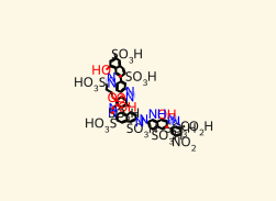 Cc1cc(/N=N\c2c(S(=O)(=O)O)cc3c(S(=O)(=O)O)c(N=Nc4cc(S(=O)(=O)O)c5cc(S(=O)(=O)O)c(/N=N\c6ccc([N+](=O)[O-])cc6C(=O)O)c(O)c5c4N)ccc3c2O)c(OCCCS(=O)(=O)O)cc1/N=N\c1cc(C)c(/N=N\c2cc(S(=O)(=O)O)cc3cc(S(=O)(=O)O)cc(O)c23)cc1OCCCS(=O)(=O)O